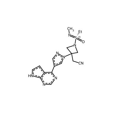 CC[S@@](=O)(=NC)N1CC(CC#N)(n2cc(-c3ncnc4[nH]ccc34)cn2)C1